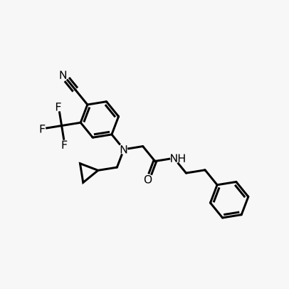 N#Cc1ccc(N(CC(=O)NCCc2ccccc2)CC2CC2)cc1C(F)(F)F